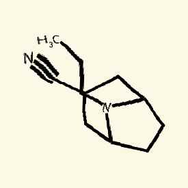 CCCN1C2CCC1CC(C#N)C2